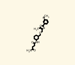 COc1cccc(-c2nc(COCC3CCCC(NC(=O)CCC(N)=O)C3)c(C)o2)c1